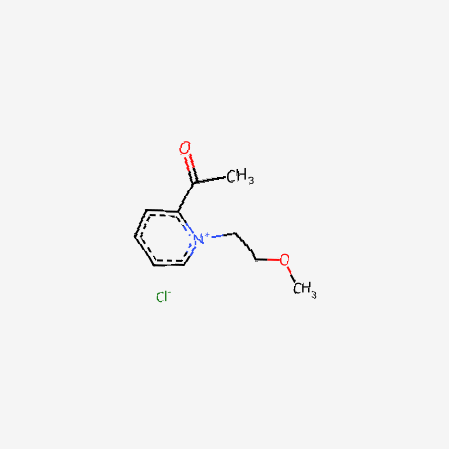 COCC[n+]1ccccc1C(C)=O.[Cl-]